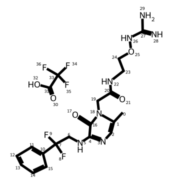 Cc1cnc(NCC(F)(F)c2ccccc2)c(=O)n1CC(=O)NCCONC(=N)N.O=C(O)C(F)(F)F